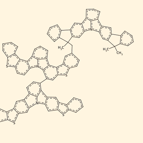 CC1(C)c2ccccc2-c2cc3c4cccc5c6cc7c(cc6n(c3cc21)c45)C(C)(Cc1ccc2sc3cc(-c4ccc5c6cc8c(cc6n6c9cc%10sc%11ccccc%11c%10cc9c4c56)sc4ccccc48)c4c(c5cccc6c8c9c(ccc8n4c65)sc4ccccc49)c3c2c1)c1ccccc1-7